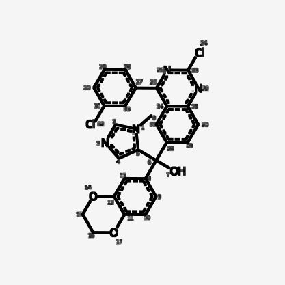 Cn1cncc1C(O)(c1ccc2c(c1)OCCO2)c1ccc2nc(Cl)nc(-c3cccc(Cl)c3)c2c1